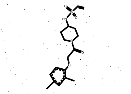 C=CS(=O)(=O)NC1CCN(C(=O)COc2ccc(C)cc2C)CC1